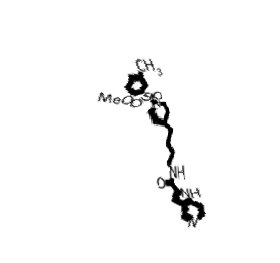 COc1ccc(C)cc1S(=O)(=O)N1CCC(CCCCNC(=O)c2cc3cnccc3[nH]2)CC1